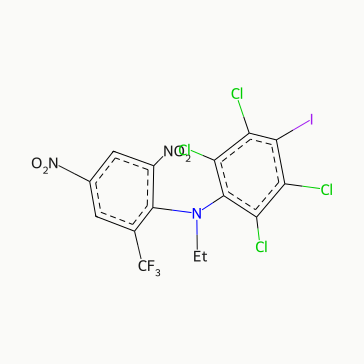 CCN(c1c([N+](=O)[O-])cc([N+](=O)[O-])cc1C(F)(F)F)c1c(Cl)c(Cl)c(I)c(Cl)c1Cl